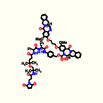 COc1cc2c(cc1OCCCOc1cc3c(cc1OC)C(=O)N1Cc4ccccc4C[C@H]1C(O)N3C(=O)OCc1ccc(NC(=O)[C@H](C)NC(=O)C(NC(=O)CCC(C)(C)OCC(C)(C)NC(=O)CCN3C(=O)C=CC3=O)C(C)C)cc1)N=C[C@@H]1Cc3ccccc3CN1C2=O